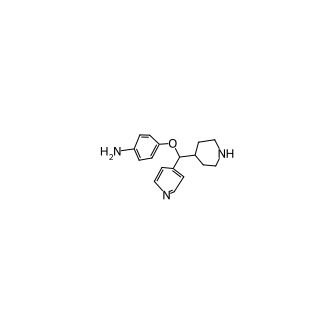 Nc1ccc(OC(c2ccncc2)C2CCNCC2)cc1